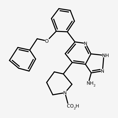 Nc1n[nH]c2nc(-c3ccccc3OCc3ccccc3)cc(C3CCCN(C(=O)O)C3)c12